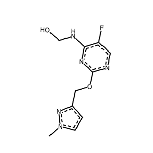 Cn1ccc(COc2ncc(F)c(NCO)n2)n1